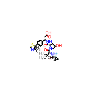 Cc1ncsc1-c1ccc([C@H](CC(=O)O)NC(=O)[C@@H]2C[C@@H](O)CN2C(=O)[C@H](NC(=O)C2(F)CC2)C(C)(C)C)cc1